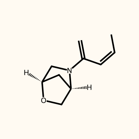 C=C(/C=C\C)N1C[C@H]2C[C@@H]1CO2